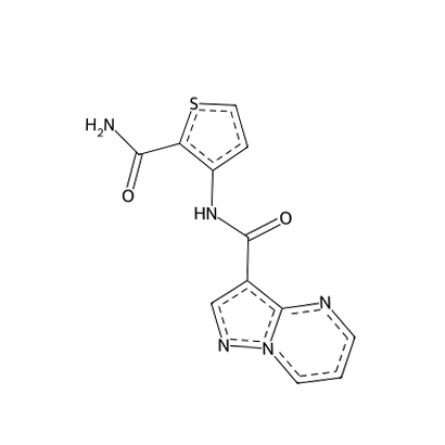 NC(=O)c1sccc1NC(=O)c1cnn2cccnc12